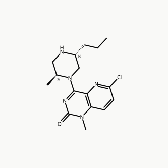 CCC[C@@H]1CN(c2nc(=O)n(C)c3ccc(Cl)nc23)[C@@H](C)CN1